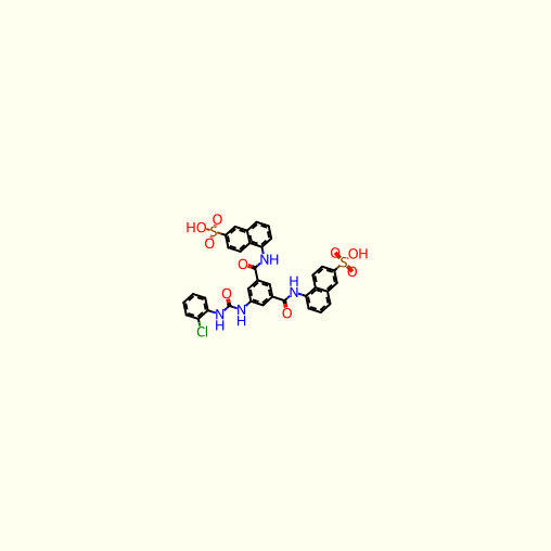 O=C(Nc1cc(C(=O)Nc2cccc3cc(S(=O)(=O)O)ccc23)cc(C(=O)Nc2cccc3cc(S(=O)(=O)O)ccc23)c1)Nc1ccccc1Cl